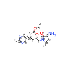 CCOC(=O)C[C@H](CCCN1C(=O)C(N)CC1C)c1cnc(C)nc1